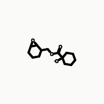 [O]C1(C(=O)OCC2CCCC3OC23)CCCCC1